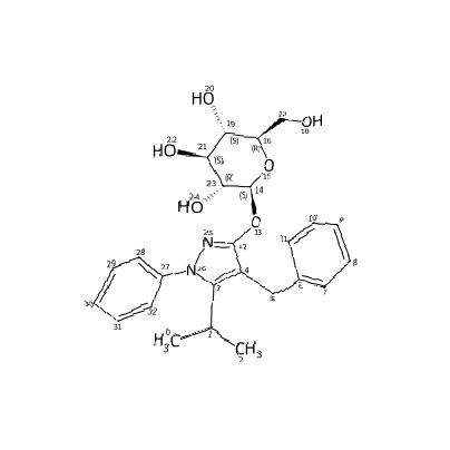 CC(C)c1c(Cc2ccccc2)c(O[C@@H]2O[C@H](CO)[C@@H](O)[C@H](O)[C@H]2O)nn1-c1ccccc1